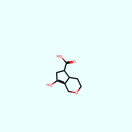 O=C(O)C1CC(O)=C2COCCC21